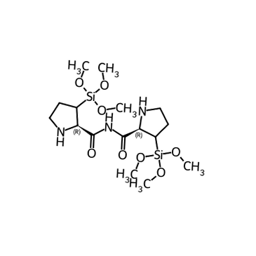 CO[Si](OC)(OC)C1CCN[C@@H]1C(=O)NC(=O)[C@H]1NCCC1[Si](OC)(OC)OC